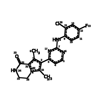 Cc1c(-c2ccnc(Nc3ccc(F)cc3Cl)n2)c(C)n2c1C(=O)NCC2